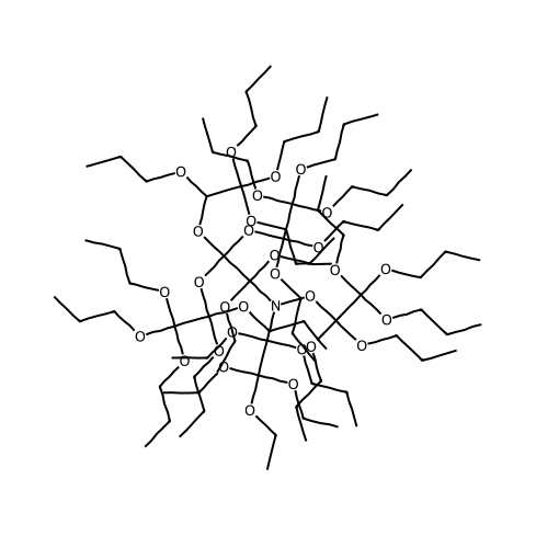 CCCOC(OC(OC(OCCC)(OCCC)C(OCCC)(OCCC)OCCC)(OC(OCCC)(OCCC)C(OCCC)(OCCC)OCCC)C(OCC)(OCC)N(OC(OCCC)(OCCC)C(OCCC)(OCCC)OCCC)C(OCC)(OCCC)C(OCC)(OCC)OCC)C(OCCC)(OCCC)OCCC